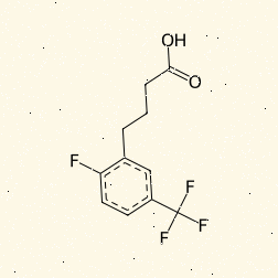 O=C(O)CCCc1cc(C(F)(F)F)ccc1F